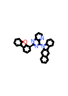 c1ccc2cc3c(cc2c1)c1ccccc1n3-c1nc(-c2cccc3c2oc2ccccc23)nc2cccnc12